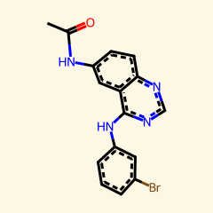 CC(=O)Nc1ccc2ncnc(Nc3cccc(Br)c3)c2c1